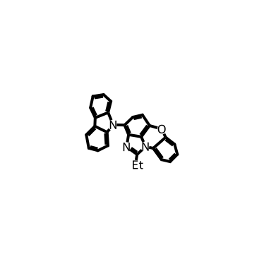 CCc1nc2c(-n3c4ccccc4c4ccccc43)ccc3c2n1-c1ccccc1O3